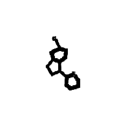 Clc1ccc2c(c1)CCN2c1ccccn1